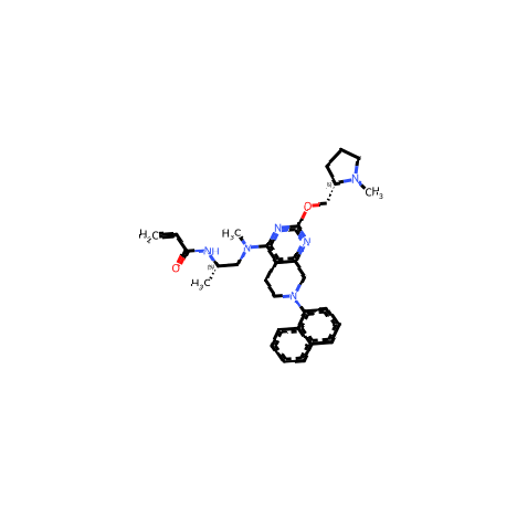 C=CC(=O)N[C@@H](C)CN(C)c1nc(OC[C@@H]2CCCN2C)nc2c1CCN(c1cccc3ccccc13)C2